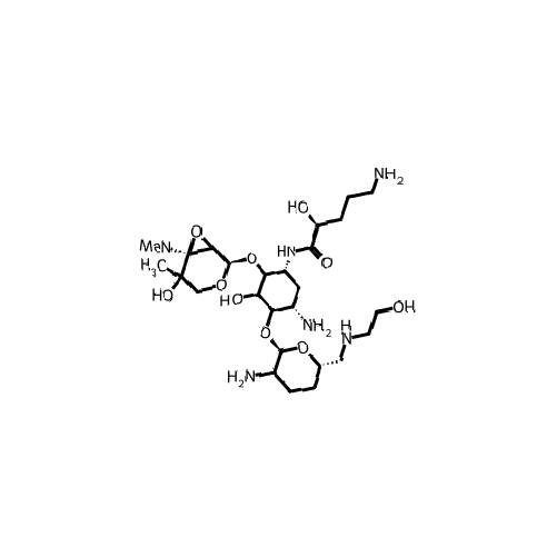 CN[C@]12OC1[C@@H](OC1C(O)C(O[C@H]3O[C@H](CNCCO)CCC3N)[C@@H](N)C[C@H]1NC(=O)[C@@H](O)CCCN)OCC2(C)O